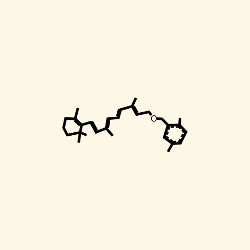 CC(C=CC1=C(C)CCCC1(C)C)=CC=CC(C)=CCOCc1cc(C)ccc1C